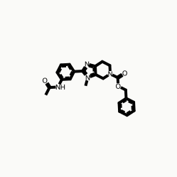 CC(=O)Nc1cccc(-c2nc3c(n2C)CN(C(=O)OCc2ccccc2)CC3)c1